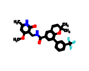 COc1cc(C)[nH]c(=O)c1CNC(=O)c1cc2c(c(-c3cccc(C(F)(F)F)c3)c1)OC(C)(C)C=C2